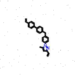 C=Cc1ccc(-c2ccc(Cc3ccc(-n4nc(C=C)cc4C)cc3)cc2)cc1